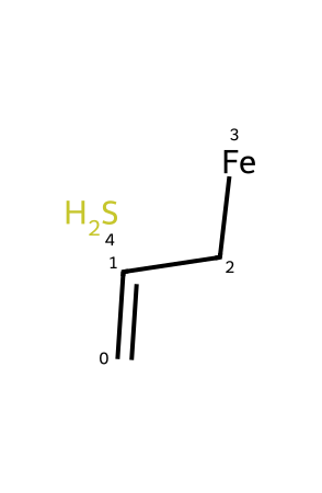 C=C[CH2][Fe].S